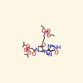 CCOP(=O)(CCCO[C@H]1CN(C(=O)CP(=O)(OC(C)C)OC(C)C)C[C@H]1n1cnc2c(=O)[nH]cnc21)OCC